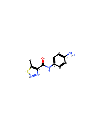 Cc1snnc1C(=O)Nc1ccc(N)cc1